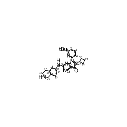 CC(C)(C)c1cccc(-n2c3nc(Nc4ccc5c(c4)CCNC5)ncc3c(=O)n2C2CCC2)n1